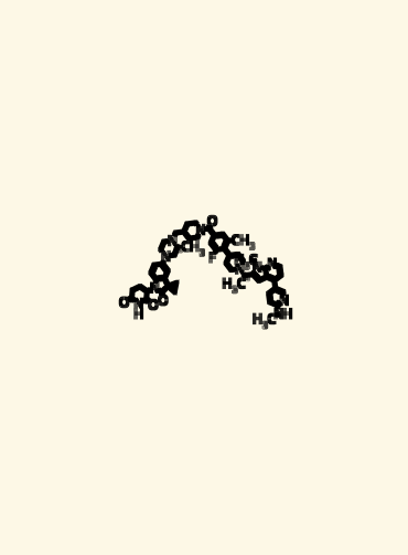 CNc1ccc(-c2ccnc3c2cc([C@H](C)N2CC=C(c4c(C)cc(C(=O)N5CCC(CN6CCN(c7ccc8c(c7)C7(CC7)C(=O)N8C7CCC(=O)NC7=O)C[C@@H]6C)CC5)cc4F)CC2)n3C)cn1